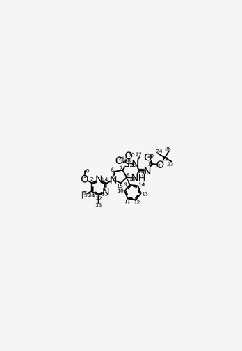 COc1nc(N2CC3[C@@](c4ccccc4)(C2)N/C(=N/C(=O)OC(C)(C)C)N(C)S3(=O)=O)nc(C)c1F